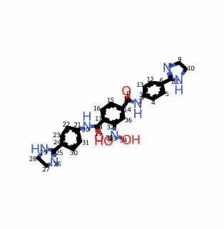 O=C(Nc1ccc(C2=NCCN2)cc1)c1ccc(C(=O)Nc2ccc(C3=NCCN3)cc2)c(N(O)O)c1